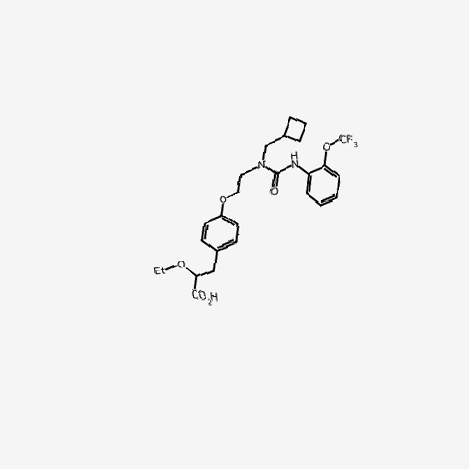 CCOC(Cc1ccc(OCCN(CC2CCC2)C(=O)Nc2ccccc2OC(F)(F)F)cc1)C(=O)O